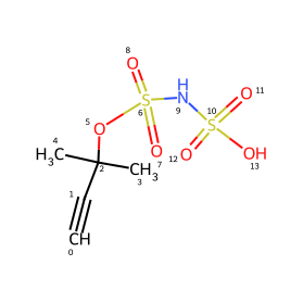 C#CC(C)(C)OS(=O)(=O)NS(=O)(=O)O